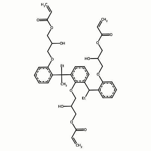 C=CC(=O)OCC(O)COc1ccccc1C(CC)c1cccc(C(C)(CC)c2ccccc2OCC(O)COC(=O)C=C)c1OCC(O)COC(=O)C=C